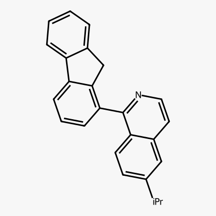 CC(C)c1ccc2c(-c3cccc4c3Cc3ccccc3-4)nccc2c1